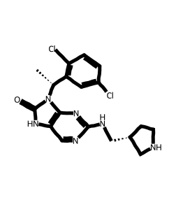 C[C@H](c1cc(Cl)ccc1Cl)n1c(=O)[nH]c2cnc(NC[C@@H]3CCNC3)nc21